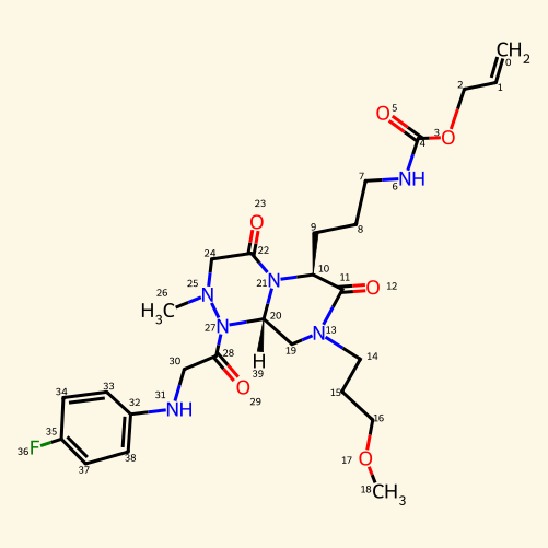 C=CCOC(=O)NCCC[C@H]1C(=O)N(CCCOC)C[C@H]2N1C(=O)CN(C)N2C(=O)CNc1ccc(F)cc1